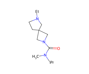 CCN1CCC2(C1)CN(C(=O)N(C)C(C)C)C2